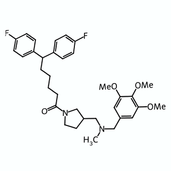 COc1cc(CN(C)CC2CCN(C(=O)CCCCC(c3ccc(F)cc3)c3ccc(F)cc3)C2)cc(OC)c1OC